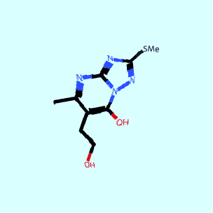 CSc1nc2nc(C)c(CCO)c(O)n2n1